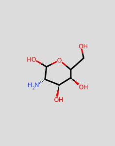 N[C@@H]1C(O)OC(CO)[C@@H](O)[C@H]1O